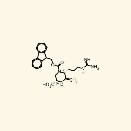 C=C1N[C@H](C(=O)O)CN(C(=O)OCC2c3ccccc3-c3ccccc32)[C@@H]1CCCNC(=N)N